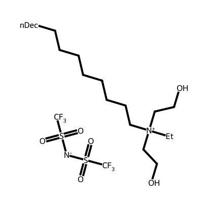 CCCCCCCCCCCCCCCCCC[N+](CC)(CCO)CCO.O=S(=O)([N-]S(=O)(=O)C(F)(F)F)C(F)(F)F